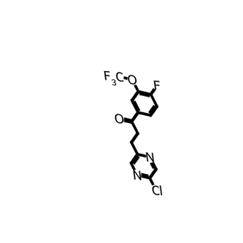 O=C(CCc1cnc(Cl)cn1)c1ccc(F)c(OC(F)(F)F)c1